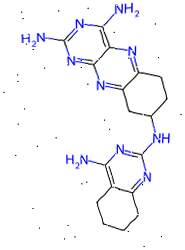 Nc1nc(N)c2nc3c(nc2n1)CC(Nc1nc(N)c2c(n1)CCCC2)CC3